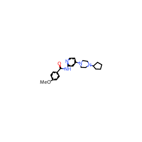 COc1ccc(C(=O)Nc2cc(N3CCN(C4CCCC4)CC3)ccn2)cc1